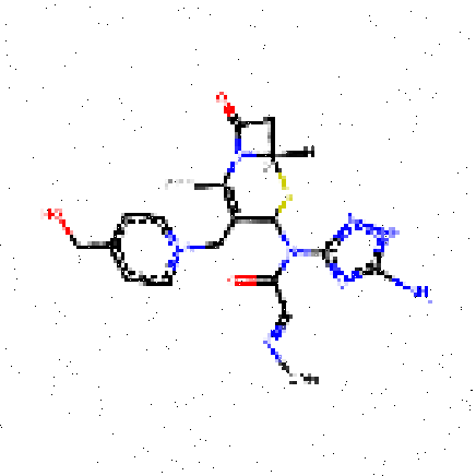 CON=CC(=O)N(c1n[nH]c(N)n1)C1S[C@H]2CC(=O)N2C(C(=O)[O-])=C1C[n+]1ccc(CO)cc1